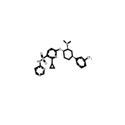 CN(C)[C@H]1C[C@@H](c2cccc(C(F)(F)F)c2)CC[C@@H]1Oc1ccc(S(=O)(=O)Nc2ccncn2)c(C2CC2)n1